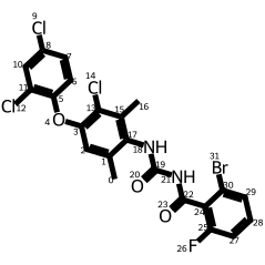 Cc1cc(Oc2ccc(Cl)cc2Cl)c(Cl)c(C)c1NC(=O)NC(=O)c1c(F)cccc1Br